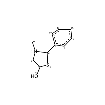 CN1CC(O)SC1c1ccccc1